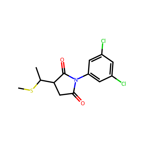 CSC(C)C1CC(=O)N(c2cc(Cl)cc(Cl)c2)C1=O